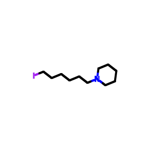 ICCCCCCN1CCCCC1